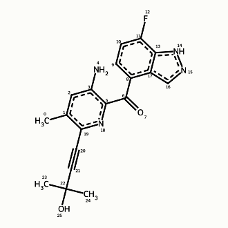 Cc1cc(N)c(C(=O)c2ccc(F)c3[nH]ncc23)nc1C#CC(C)(C)O